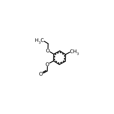 CCOc1cc(C)ccc1OC=O